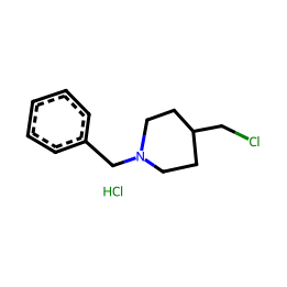 Cl.ClCC1CCN(Cc2ccccc2)CC1